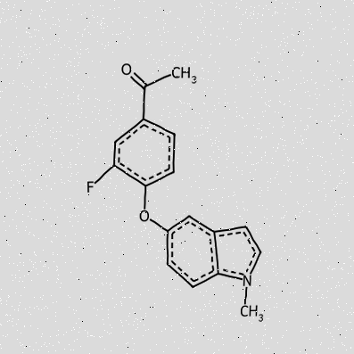 CC(=O)c1ccc(Oc2ccc3c(ccn3C)c2)c(F)c1